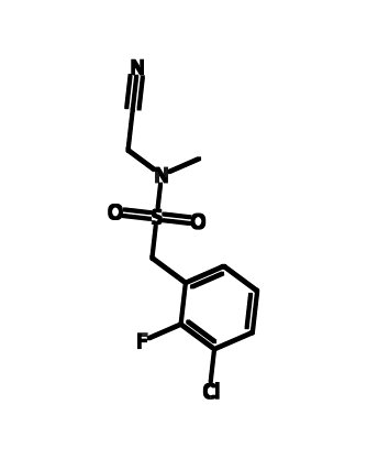 CN(CC#N)S(=O)(=O)Cc1cccc(Cl)c1F